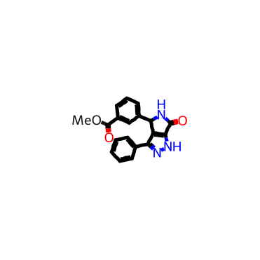 COC(=O)c1cccc(C2NC(=O)c3[nH]nc(-c4ccccc4)c32)c1